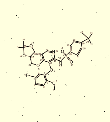 COc1ccc(F)cc1Oc1c(NS(=O)(=O)c2ccc(C(C)(C)C)cc2)ncnc1OCC1COC(C)(C)O1